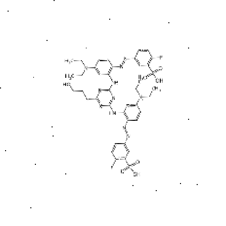 CCN(CC)c1ccc(/N=N/c2ccc(F)c(S(=O)(=O)O)c2)c(Nc2nc(Nc3cc(N(CC)CC)ccc3/N=N/c3ccc(F)c(S(=O)(=O)O)c3)nc(SCCO)n2)c1